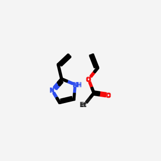 C=COC(=O)CC.C=Cc1ncc[nH]1